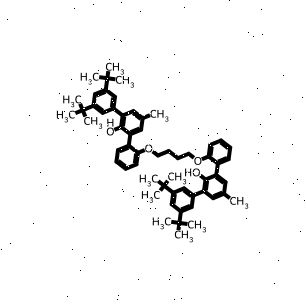 Cc1cc(-c2cc(C(C)(C)C)cc(C(C)(C)C)c2)c(O)c(-c2ccccc2OCCCCOc2ccccc2-c2cc(C)cc(-c3cc(C(C)(C)C)cc(C(C)(C)C)c3)c2O)c1